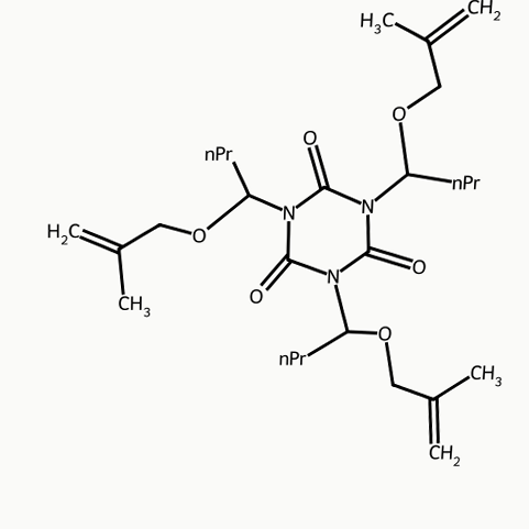 C=C(C)COC(CCC)n1c(=O)n(C(CCC)OCC(=C)C)c(=O)n(C(CCC)OCC(=C)C)c1=O